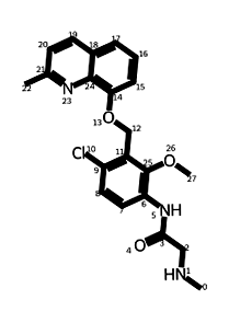 CNCC(=O)Nc1ccc(Cl)c(COc2cccc3ccc(C)nc23)c1OC